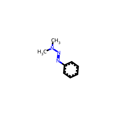 CN(C)N=Nc1ccccc1